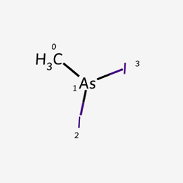 C[As](I)I